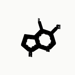 Clc1cnc2[nH]ccc2c1I